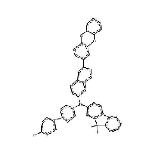 CC1(C)c2ccccc2-c2ccc(N(c3ccc(-c4ccc(F)cc4)cc3)c3ccc4cc(-c5ccc6c(c5)Oc5ccccc5O6)ccc4c3)cc21